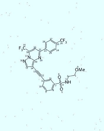 COCCNS(=O)(=O)c1cccc(C#Cc2cnn3c(C(F)(F)F)cc(-c4ccc(C(F)(F)F)cc4)nc23)c1